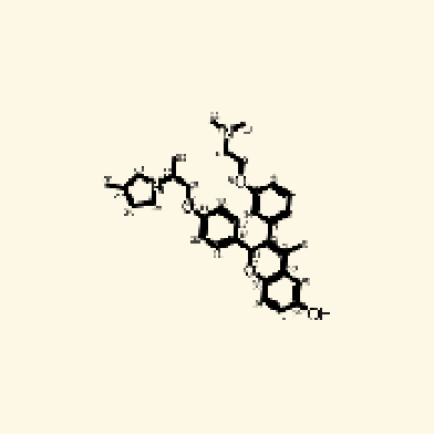 CC1=C(c2cccc(OCCN(C)C)c2)C(c2ccc(OCC(C)N3CCC(C)C3)cc2)Oc2ccc(O)cc21